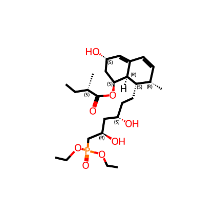 CCOP(=O)(C[C@H](O)C[C@@H](O)CC[C@@H]1[C@@H]2C(=C[C@@H](O)C[C@@H]2OC(=O)[C@@H](C)CC)C=C[C@@H]1C)OCC